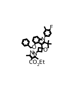 CCOC(=O)c1c(C)nn(C2CC3(C2)OCC(C)(C)c2c3c3c(OCc4ccccc4)cccc3n2-c2ccc(F)c(C)c2)c1C